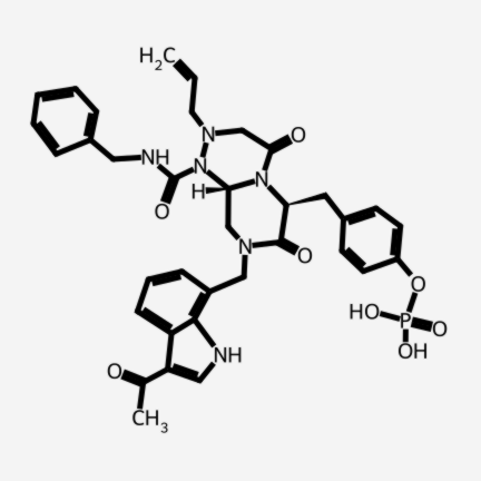 C=CCN1CC(=O)N2[C@@H](Cc3ccc(OP(=O)(O)O)cc3)C(=O)N(Cc3cccc4c(C(C)=O)c[nH]c34)C[C@@H]2N1C(=O)NCc1ccccc1